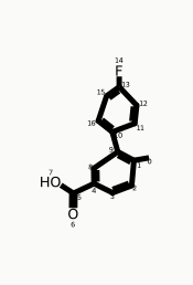 Cc1ccc(C(=O)O)cc1-c1ccc(F)cc1